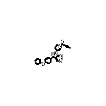 CC#CC(=O)N1CC[C@@H](n2nc(-c3ccc(Oc4ccccc4)cc3)c3cncnc32)C1